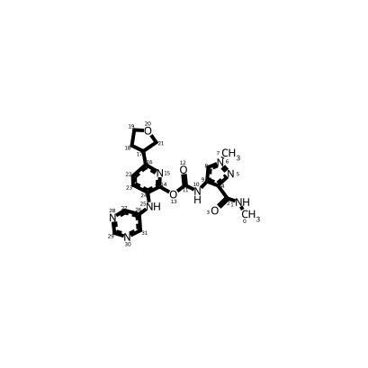 CNC(=O)c1nn(C)cc1NC(=O)Oc1nc(C2CCOC2)ccc1Nc1cncnc1